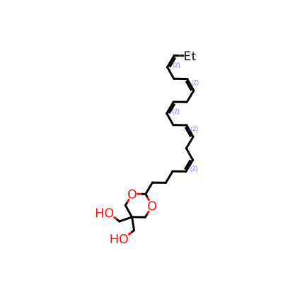 CC/C=C\C/C=C\C/C=C\C/C=C\C/C=C\CCCC1OCC(CO)(CO)CO1